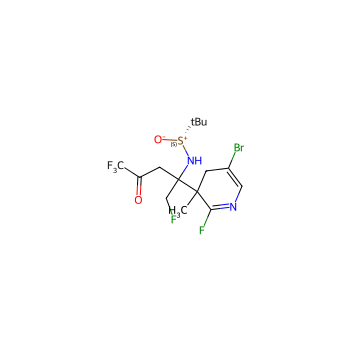 CC(C)(C)[S@@+]([O-])NC(CF)(CC(=O)C(F)(F)F)C1(C)CC(Br)=CN=C1F